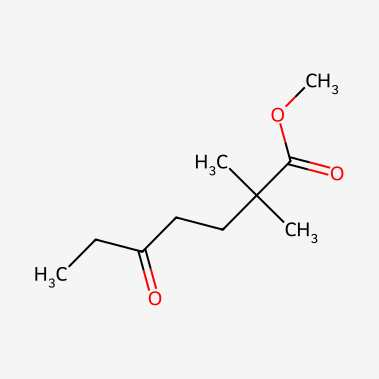 CCC(=O)CCC(C)(C)C(=O)OC